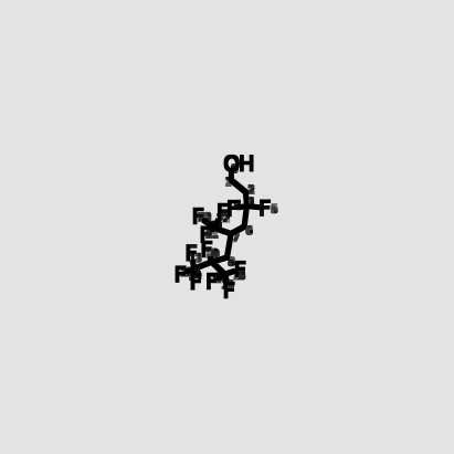 OCCC(F)(F)CC(CC(F)(C(F)(F)F)C(F)(F)F)C(F)(F)F